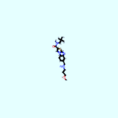 COCCCNCc1ccc2c(c1)nc1sc(C(=O)N(C)CC(C)(C)C)cn12